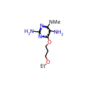 CCOCCCOc1nc(N)nc(NC)c1N